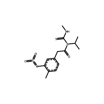 CNC(=S)N(C(=O)Cc1ccc(C)c(N=S(=O)=O)c1)C(C)C